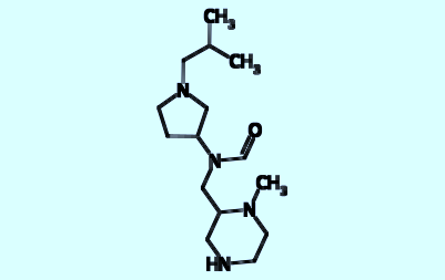 CC(C)CN1CCC(N(C=O)CC2CNCCN2C)C1